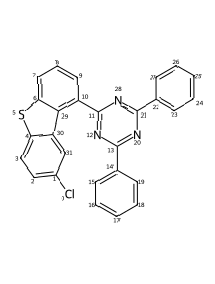 Clc1ccc2sc3cccc(-c4nc(-c5ccccc5)nc(-c5ccccc5)n4)c3c2c1